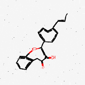 CC=Cc1ccc(-c2oc3ccccc3c(=O)c2O)cc1